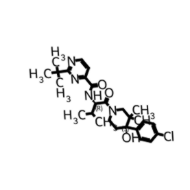 CC(C)[C@@H](NC(=O)c1ccnc(C(C)(C)C)n1)C(=O)N1CC[C@](O)(c2ccc(Cl)cc2)C(C)(C)C1